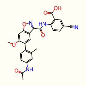 COc1cc2onc(C(=O)Nc3ccc(C#N)cc3C(=O)O)c2cc1-c1ccc(NC(C)=O)cc1C